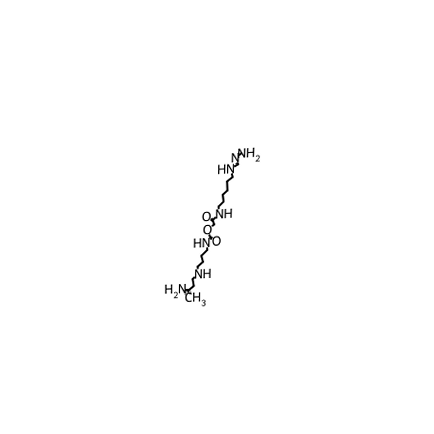 C[C@@H](N)CCNCCCCNC(=O)OCC(=O)NCCCCCCNC=NN